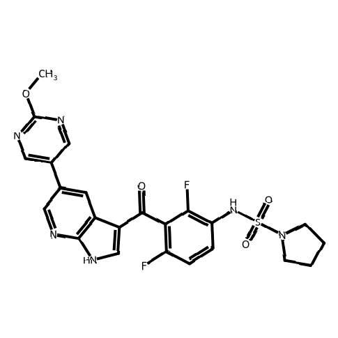 COc1ncc(-c2cnc3[nH]cc(C(=O)c4c(F)ccc(NS(=O)(=O)N5CCCC5)c4F)c3c2)cn1